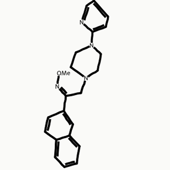 CON=C(CN1CCN(c2ccccn2)CC1)c1ccc2ccccc2c1